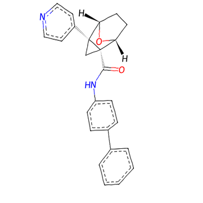 O=C(Nc1ccc(-c2ccccc2)cc1)[C@]12C[C@@]1(c1ccncc1)[C@@H]1CC[C@H]2O1